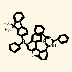 CC1(C)c2ccccc2-c2ccc(N(c3ccccc3)c3cc4oc5cccc(C6=NC(c7ccccc7)=NC(c7ccccc7)N6)c5c4c4ccccc34)cc21